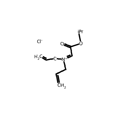 C=CC[N+](=CC(=O)OC(C)C)CC=C.[Cl-]